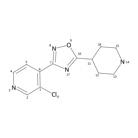 Clc1cnccc1-c1noc(C2CC[N]CC2)n1